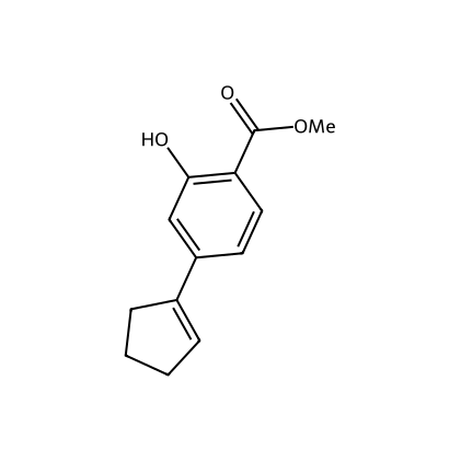 COC(=O)c1ccc(C2=CCCC2)cc1O